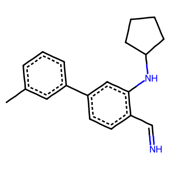 Cc1cccc(-c2ccc(C=N)c(NC3CCCC3)c2)c1